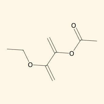 C=C(OCC)C(=C)OC(C)=O